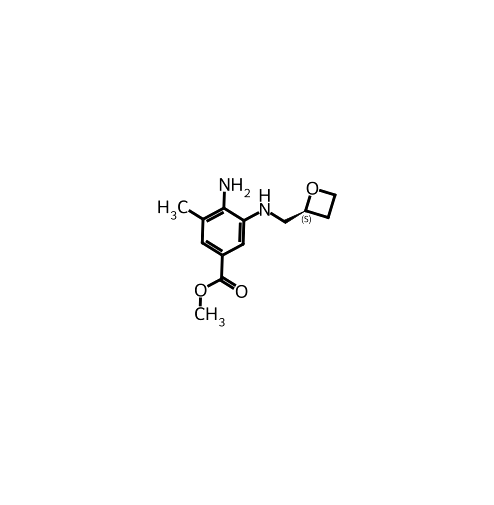 COC(=O)c1cc(C)c(N)c(NC[C@@H]2CCO2)c1